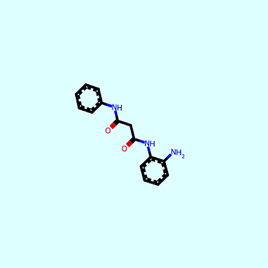 Nc1ccccc1NC(=O)CC(=O)Nc1ccccc1